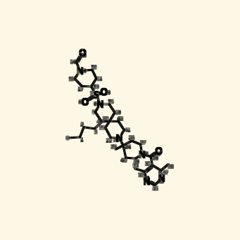 CCCCC1CN(S(=O)(=O)C2CCN(C=O)CC2)CCC12CCN(C1(C)CCN(C(=O)c3c(C)ncnc3C)CC1)CC2